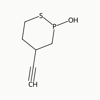 C#CC1CCSP(O)C1